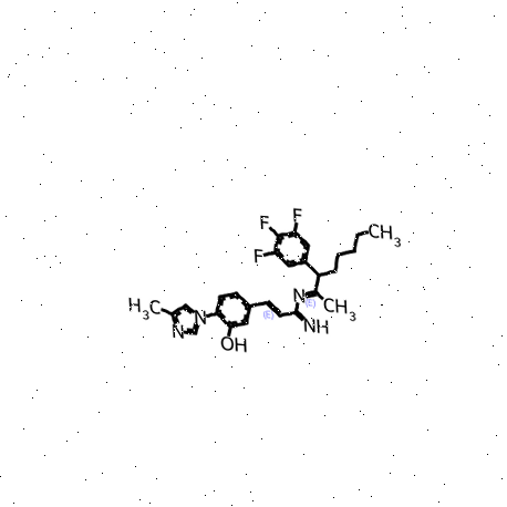 CCCCCC(/C(C)=N/C(=N)/C=C/c1ccc(-n2cnc(C)c2)c(O)c1)c1cc(F)c(F)c(F)c1